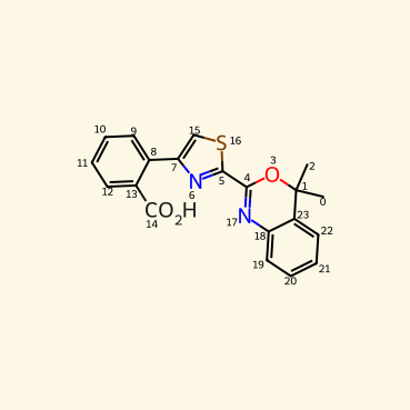 CC1(C)OC(c2nc(-c3ccccc3C(=O)O)cs2)=Nc2ccccc21